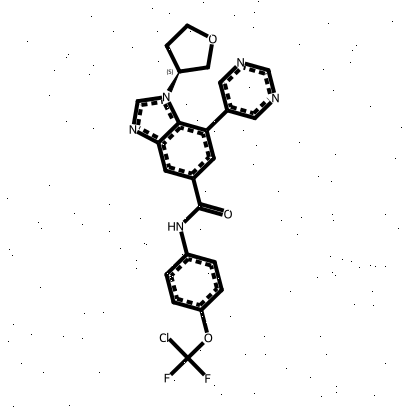 O=C(Nc1ccc(OC(F)(F)Cl)cc1)c1cc(-c2cncnc2)c2c(c1)ncn2[C@H]1CCOC1